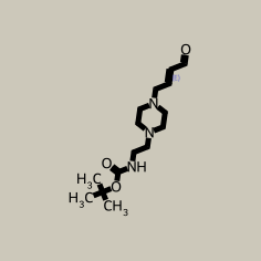 CC(C)(C)OC(=O)NCCN1CCN(C/C=C/C=O)CC1